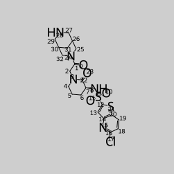 O=C(CN1CCC[C@H](NS(=O)(=O)c2cc3nc(Cl)ccc3s2)C1=O)N1CC2CNCC(C2)C1